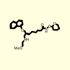 COCCNC/C(=C/CCCCC(=O)NOC1CCCCO1)COc1cccc2ccccc12